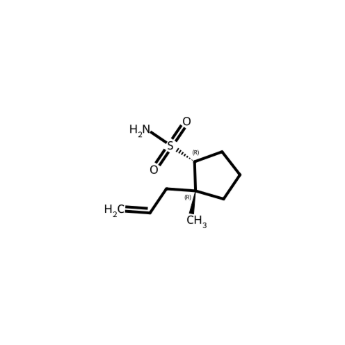 C=CC[C@@]1(C)CCC[C@H]1S(N)(=O)=O